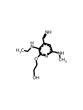 CCNc1c(C=N)cc(NC)nc1OCCO